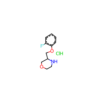 Cl.Fc1ccccc1OCC1COCCN1